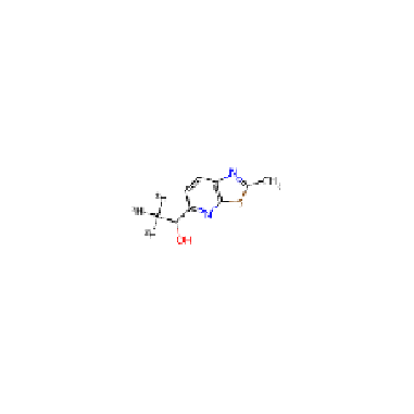 [2H]C([2H])([2H])C(O)c1ccc2nc(C)sc2n1